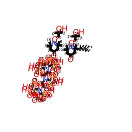 CC(C)(O)CON1C(C)(C)CC(=O)CC1(C)C.CC(C)(O)CON1C(C)(C)CC(=O)CC1(C)C.O=P([O-])([O-])C(N(CCN(CCN(C(P(=O)(O)O)P(=O)(O)O)C(P(=O)(O)O)P(=O)(O)O)C(P(=O)(O)O)P(=O)(O)O)C(P(=O)(O)O)P(=O)(O)O)P(=O)([O-])O.[K+].[K+].[K+]